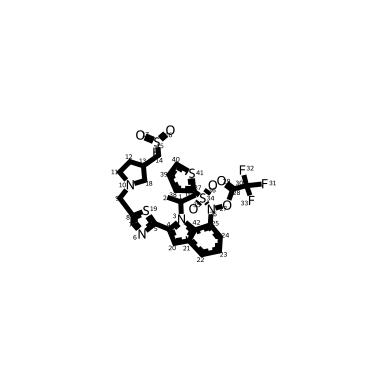 CC(C)n1c(-c2ncc(CN3CCC(C[SH](=O)=O)C3)s2)cc2cccc(N(OC(=O)C(F)(F)F)S(=O)(=O)c3cccs3)c21